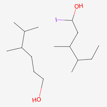 CC(C)C(C)CCCO.CCC(C)C(C)CC(O)I